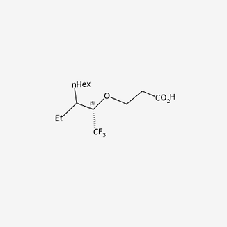 CCCCCCC(CC)[C@H](OCCC(=O)O)C(F)(F)F